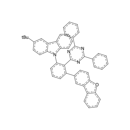 CC(C)(C)c1ccc2c(c1)c1ccccc1n2-c1cccc(-c2ccc3oc4ccccc4c3c2)c1-c1nc(-c2ccccc2)nc(-c2ccccc2)n1